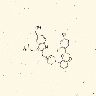 OCc1ccc2nc(CN3CCC(c4cccc5c4O[C@@H](c4ccc(Cl)cc4F)CO5)CC3)n(C[C@@H]3CCO3)c2c1